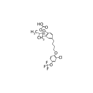 CC(C)[C@]1(OC(=O)O)Cc2cc(CCCCOc3ccc(OC(F)(F)F)cc3Cl)ccc2O1